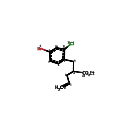 C=CCC(Cc1ccc(Br)cc1Cl)C(=O)OCC